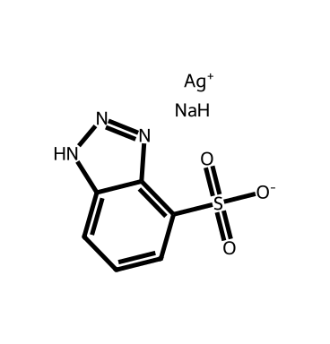 O=S(=O)([O-])c1cccc2[nH]nnc12.[Ag+].[NaH]